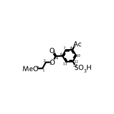 COCCOC(=O)c1cc(C(C)=O)cc(S(=O)(=O)O)c1